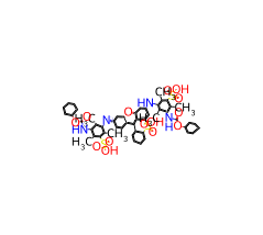 Cc1c(/N=c2\ccc3c(-c4ccccc4S(=O)(=O)O)c4ccc(Nc5c(C)c(NC(=O)Oc6ccccc6)c(C)c(S(=O)(=O)O)c5C)cc4oc-3c2)c(C)c(S(=O)(=O)O)c(C)c1NC(=O)Oc1ccccc1